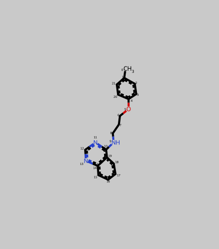 Cc1ccc(OCCCNc2ncnc3ccccc23)cc1